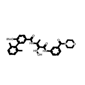 COc1ccc(C(=O)N/C(C)=C(\NO)C(=O)Nc2cccc(C(=O)N3CCOCC3)c2)cc1-c1c(C)cccc1C